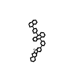 c1cc(-c2ccc3c(c2)sc2cc4ccccc4cc23)cc(-c2c3ccccc3c(-c3ccc(-c4cccc5ccccc45)cc3)c3ccccc23)c1